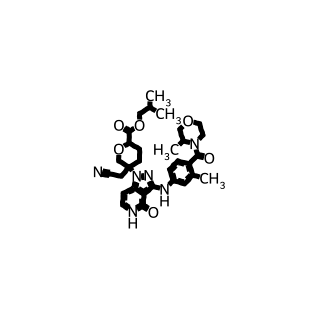 Cc1cc(Nc2nn(C3(CC#N)CCC(C(=O)OCC(C)C)OC3)c3cc[nH]c(=O)c23)ccc1C(=O)N1CCOCC1C